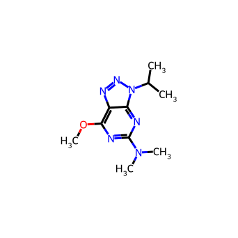 COc1nc(N(C)C)nc2c1nnn2C(C)C